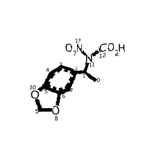 CC(c1ccc2c(c1)OCO2)N(C(=O)O)[N+](=O)[O-]